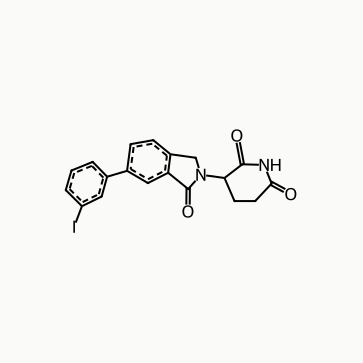 O=C1CCC(N2Cc3ccc(-c4cccc(I)c4)cc3C2=O)C(=O)N1